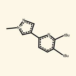 Cn1cc(-c2ccc(C(C)(C)C)c(C(C)(C)C)n2)cn1